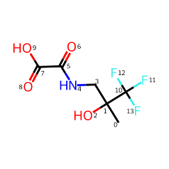 CC(O)(CNC(=O)C(=O)O)C(F)(F)F